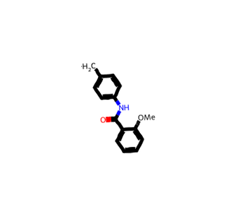 [CH2]c1ccc(NC(=O)c2ccccc2OC)cc1